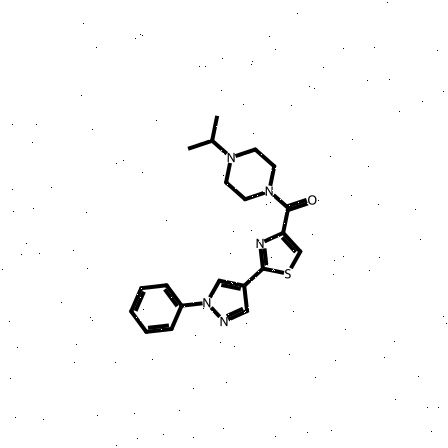 CC(C)N1CCN(C(=O)c2csc(-c3cnn(-c4ccccc4)c3)n2)CC1